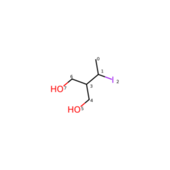 CC(I)C(CO)CO